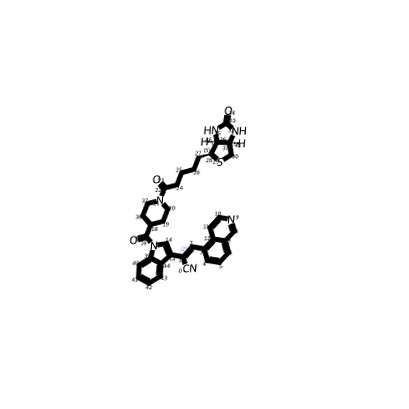 N#C/C(=C\c1cccc2cnccc12)c1cn(C(=O)C2CCN(C(=O)CCCC[C@@H]3SC[C@@H]4NC(=O)N[C@@H]43)CC2)c2ccccc12